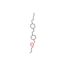 CCCCCC1CCC(CCC2CCC(COCCCC)CC2)CC1